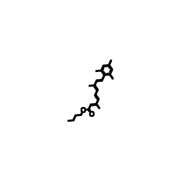 CCCCOC(=O)C=C(C)C=CC=C(C)C=Cc1c(C)cc(C)cc1C